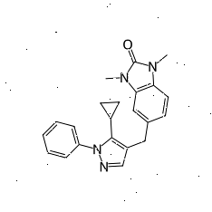 Cn1c(=O)n(C)c2cc(Cc3cnn(-c4ccccc4)c3C3CC3)ccc21